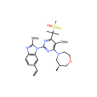 C=Cc1ccc2nc(NC)n(-c3nc(N4CCOC[C@@H](C)C4)c(OC)c(C(C)(C)S(C)(=O)=S)n3)c2c1